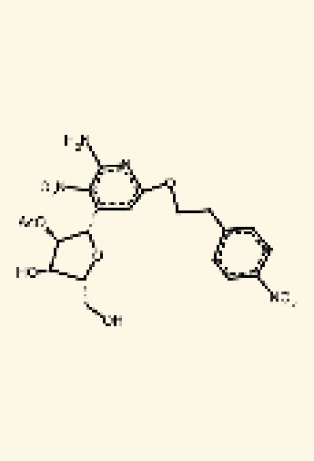 CC(=O)O[C@@H]1[C@H](O)[C@@H](CO)O[C@H]1c1cc(OCCc2ccc([N+](=O)[O-])cc2)nc(N)c1[N+](=O)[O-]